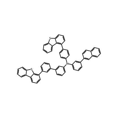 c1cc(-c2cccc(N(c3ccc(-c4cccc5sc6ccccc6c45)cc3)c3cccc(-c4ccc5ccccc5c4)c3)c2)cc(-c2cccc3c2sc2ccccc23)c1